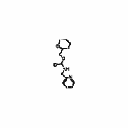 O=C(NCc1ccccn1)OCC1[C]CCCO1